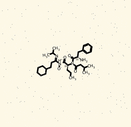 CCC[C@@H](C(=O)[NH+]([O-])C(CCC1CCCCC1)=NC(C)C)N(C(=O)CC(C)C)C(=O)[C@@H](N)Cc1ccccc1